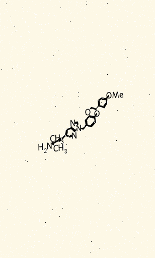 COc1ccc([C@@H]2COc3cc(Cn4cnc5cc(C#CC(C)(C)N)cnc54)ccc3O2)cc1